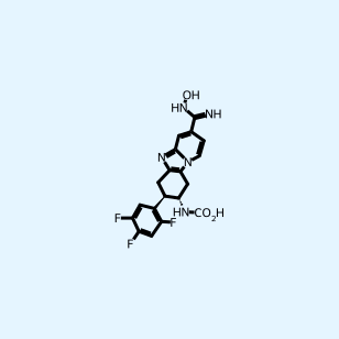 N=C(NO)c1ccn2c3c(nc2c1)C[C@H](c1cc(F)c(F)cc1F)[C@@H](NC(=O)O)C3